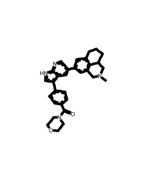 CN1Cc2cc(-c3cnc4[nH]cc(-c5ccc(C(=O)N6CCOCC6)cc5)c4c3)cc3c2C(CCC3)C1